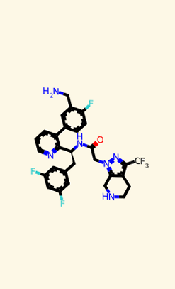 NCc1cc(-c2cccnc2[C@H](Cc2cc(F)cc(F)c2)NC(=O)Cn2nc(C(F)(F)F)c3c2CNCC3)ccc1F